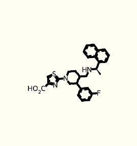 C[C@@H](NCC1CCN(c2nc(C(=O)O)cs2)CC1c1cccc(F)c1)c1cccc2ccccc12